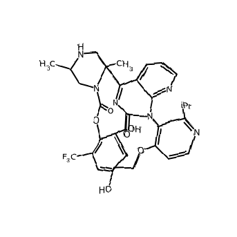 CC1CN(C(=O)Oc2c(O)cccc2C(F)(F)F)C(C)(c2nc(=O)n(-c3c(OCCO)ccnc3C(C)C)c3ncccc23)CN1